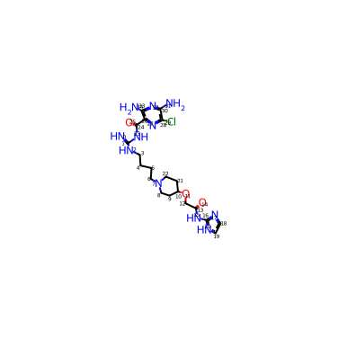 N=C(NCCCCN1CCC(OCC(=O)Nc2ncc[nH]2)CC1)NC(=O)c1nc(Cl)c(N)nc1N